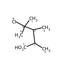 CC(C(=O)O)C(C)C(C)(C)Cl